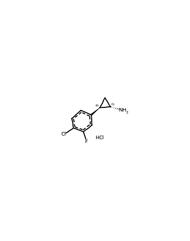 Cl.N[C@H]1C[C@@H]1c1ccc(Cl)c(F)c1